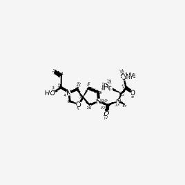 C=CC(O)N1CO[C@]2(CCN(C(=O)N(C)[C@H](C(=O)OC)C(C)C)C2)C1